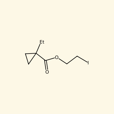 CCC1(C(=O)OCCI)CC1